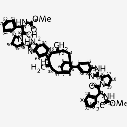 C=C1CCc2ccc(cc2-c2ccc3[nH]c([C@@H]4CCCN4C(=O)[C@@H](NC(=C)OC)c4ccccc4)nc3c2)CCC(=C)[C@H](c2ccc3[nH]c([C@@H]4CCCN4C(=C)[C@@H](NC(=O)OC)c4ccccc4)nc3c2)C1